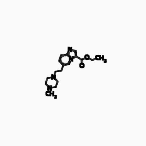 CCOC(=O)c1cnc2ccc(CCN3CCN(C)CC3)cn12